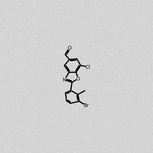 Cc1c(Br)cccc1-c1nc2cc(C=O)cc(Cl)c2o1